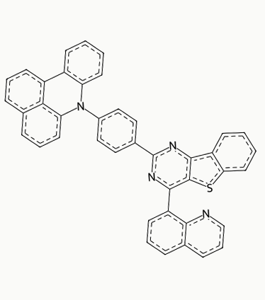 c1ccc2c(c1)-c1cccc3cccc(c13)N2c1ccc(-c2nc(-c3cccc4cccnc34)c3sc4ccccc4c3n2)cc1